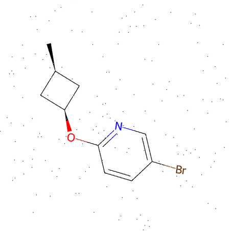 C[C@H]1C[C@@H](Oc2ccc(Br)cn2)C1